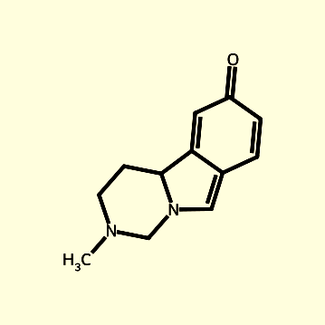 CN1CCC2C3=CC(=O)C=CC3=CN2C1